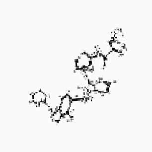 Cn1cc(C(=O)Nc2cccc(-n3nc(Nc4ccc5c(cnn5C5CCCCO5)c4F)c4ccccc43)n2)cn1